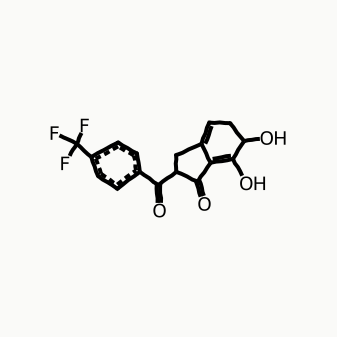 O=C1C2=C(O)C(O)CC=C2CC1C(=O)c1ccc(C(F)(F)F)cc1